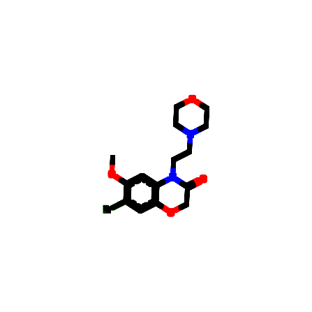 COc1cc2c(cc1Br)OCC(=O)N2CCN1CCOCC1